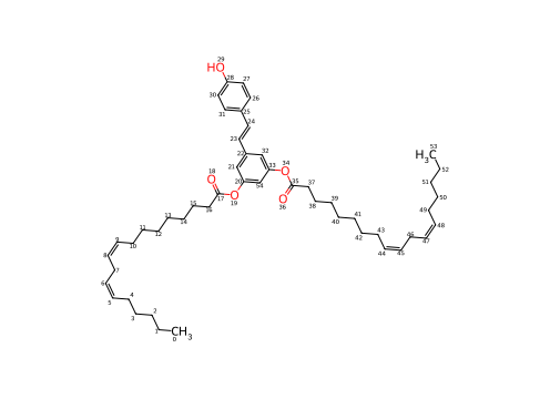 CCCCC/C=C\C/C=C\CCCCCCCC(=O)Oc1cc(C=Cc2ccc(O)cc2)cc(OC(=O)CCCCCCC/C=C\C/C=C\CCCCC)c1